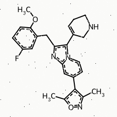 COc1ccc(F)cc1Cc1nc2cc(-c3c(C)noc3C)ccn2c1C1=CCCNC1